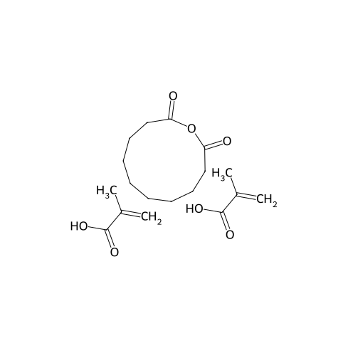 C=C(C)C(=O)O.C=C(C)C(=O)O.O=C1CCCCCCCCC(=O)O1